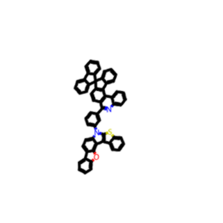 c1cc(-c2nc3ccccc3c3c4c(ccc23)C2(c3ccccc3-c3ccccc32)c2ccccc2-4)cc(-n2c3ccc4c5ccccc5oc4c3c3c4ccccc4sc32)c1